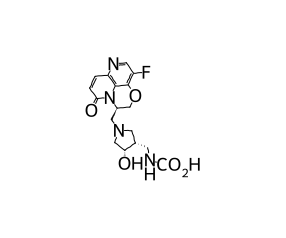 O=C(O)NC[C@H]1CN(C[C@@H]2COc3c(F)cnc4ccc(=O)n2c34)C[C@H]1O